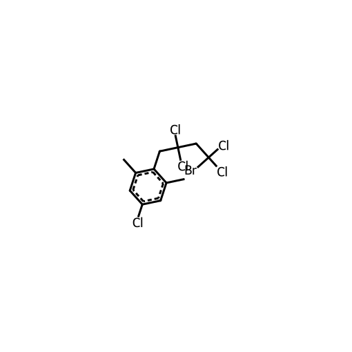 Cc1cc(Cl)cc(C)c1CC(Cl)(Cl)CC(Cl)(Cl)Br